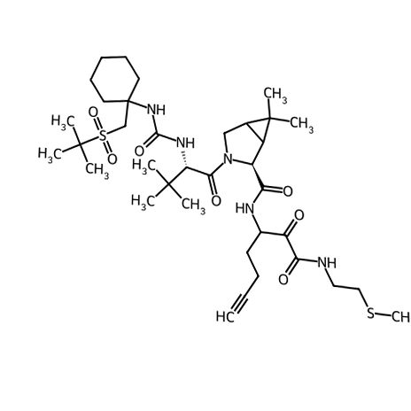 C#CCCC(NC(=O)[C@@H]1C2C(CN1C(=O)[C@@H](NC(=O)NC1(CS(=O)(=O)C(C)(C)C)CCCCC1)C(C)(C)C)C2(C)C)C(=O)C(=O)NCCSC